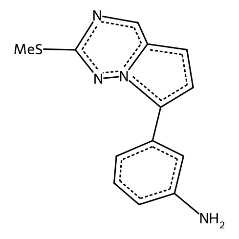 CSc1ncc2ccc(-c3cccc(N)c3)n2n1